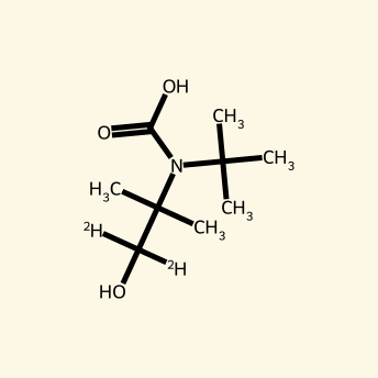 [2H]C([2H])(O)C(C)(C)N(C(=O)O)C(C)(C)C